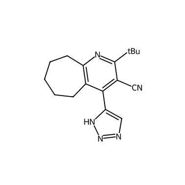 CC(C)(C)c1nc2c(c(-c3cnn[nH]3)c1C#N)CCCCC2